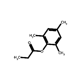 [CH2]CC(=O)Oc1c(C)cc(C)cc1C